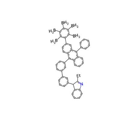 Bc1c(B)c(B)c(-c2ccc3c(-c4cccc(-c5cccc(C6C(CC)=Nc7ccccc76)c5)c4)c4ccccc4c(-c4ccccc4)c3c2)c(B)c1B